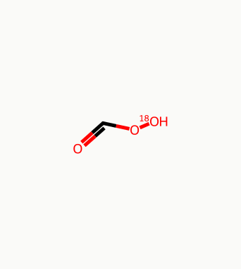 O=CO[18OH]